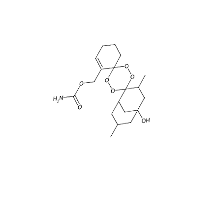 CC1CC2CC(O)(C1)CC(C)C21OOC2(CCCC=C2COC(N)=O)OO1